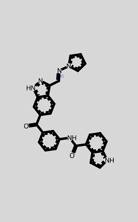 O=C(c1cccc(NC(=O)c2cccc3[nH]ccc23)c1)c1ccc2c(/C=N/n3cccc3)n[nH]c2c1